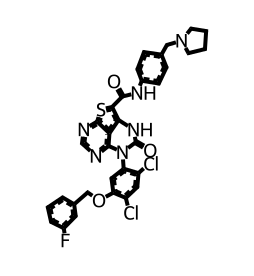 O=C(Nc1ccc(CN2CCCC2)cc1)c1sc2ncnc3c2c1NC(=O)N3c1cc(OCc2cccc(F)c2)c(Cl)cc1Cl